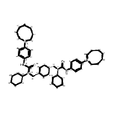 O=C(Nc1ccc(N2CCCCCCC2)cc1)N(C[C@H]1CC[C@H](CN(C(=O)Nc2ccc(N3CCCCCCC3)cc2)C2CCCCC2)CC1)C1CCCCC1